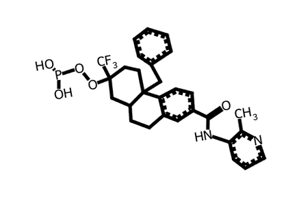 Cc1ncccc1NC(=O)c1ccc2c(c1)CCC1CC(OOP(O)O)(C(F)(F)F)CCC21Cc1ccccc1